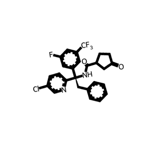 O=C1CCC(C(=O)N[C@@](Cc2ccccc2)(c2cc(F)cc(C(F)(F)F)c2)c2ccc(Cl)cn2)C1